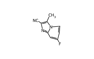 Cc1c(C#N)nc2cc(F)ccn12